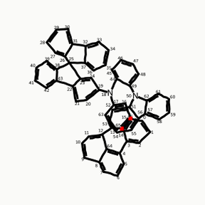 c1ccc(-c2cccc3cccc(-c4cccc(N(c5ccc6c(c5)C5(c7ccccc7-c7ccccc75)c5ccccc5-6)c5ccccc5-n5c6ccccc6c6ccccc65)c4)c23)cc1